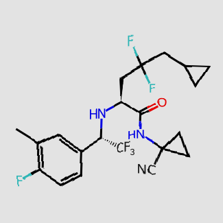 Cc1cc([C@H](N[C@@H](CC(F)(F)CC2CC2)C(=O)NC2(C#N)CC2)C(F)(F)F)ccc1F